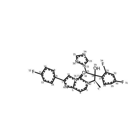 C[C@@H](n1ccc2nc(-c3ccc(F)cc3)cn2c1=O)C(O)(Cn1cncn1)c1ccc(F)cc1F